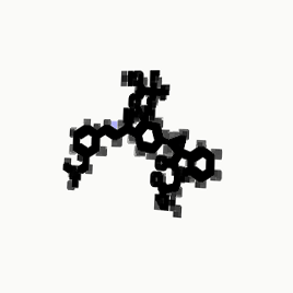 CN(C)Cc1cccc(/C=C/c2n[nH]c3cc([C@@H]4C[C@@]45C(=O)N(CC(N)=O)c4ccccc45)ccc23)c1.O=C(O)C(F)(F)F